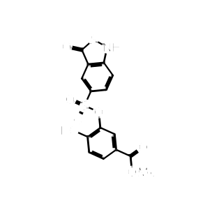 COC(=O)c1ccc(C)c(OS(=O)(=O)c2ccc3[nH]sc(=O)c3c2)c1